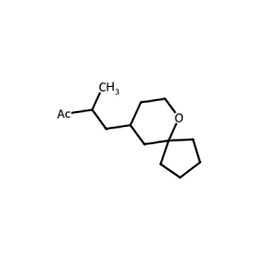 CC(=O)C(C)CC1CCOC2(CCCC2)C1